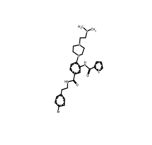 CN(C)CCN1CCN(c2ccc(C(=O)NCCc3ccc(Br)cc3)cc2NC(=O)c2cccs2)CC1